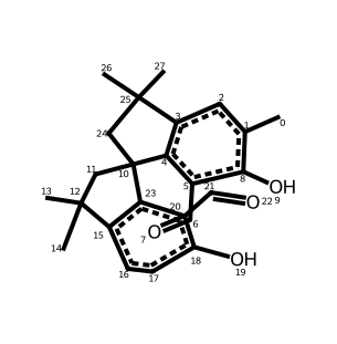 Cc1cc2c(c(C=O)c1O)C1(CC(C)(C)c3ccc(O)c(C=O)c31)CC2(C)C